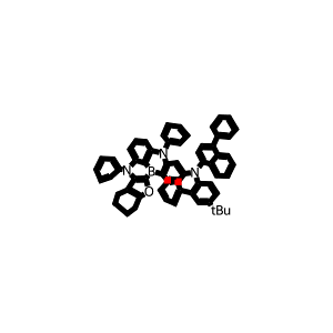 CC(C)(C)c1ccc(N(c2ccc3c(c2)N(c2ccccc2)c2cccc4c2B3c2oc3c(c2N4c2ccccc2)CCCC3)c2ccc(-c3ccccc3)c3ccccc23)c(-c2ccccc2)c1